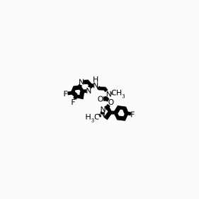 CN(CCNc1cnc2cc(F)c(F)cc2n1)C(=O)Oc1nn(C)cc1-c1ccc(F)cc1